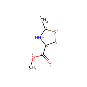 COC(=O)C1CSC(C)N1